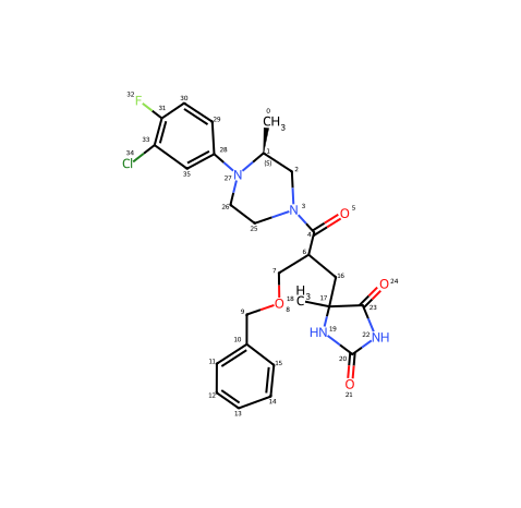 C[C@H]1CN(C(=O)C(COCc2ccccc2)CC2(C)NC(=O)NC2=O)CCN1c1ccc(F)c(Cl)c1